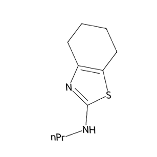 CCCNc1nc2c(s1)CCCC2